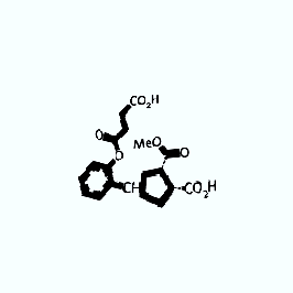 COC(=O)[C@H]1CCC[C@H]1C(=O)O.Cc1ccccc1OC(=O)CCC(=O)O